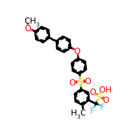 COc1ccc(-c2ccc(Oc3ccc(S(=O)(=O)c4ccc(C)c(C(F)(F)S(=O)(=O)O)c4)cc3)cc2)cc1